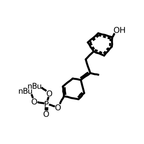 CCCCOP(=O)(OCCCC)OC1=CCC(=C(C)Cc2ccc(O)cc2)C=C1